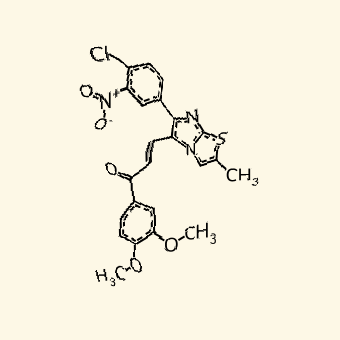 COc1ccc(C(=O)C=Cc2c(-c3ccc(Cl)c([N+](=O)[O-])c3)nc3sc(C)cn23)cc1OC